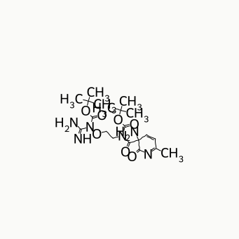 CC1=NC(=O)C(N)(C(=O)N(CCON(C(=N)N)C(=O)OC(C)(C)C)C(=O)OC(C)(C)C)C=C1